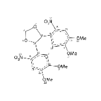 COc1cc(C2OCOC2c2cc(OC)c(OC)cc2[N+](=O)[O-])c([N+](=O)[O-])cc1OC